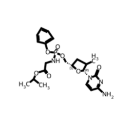 CC(C)OC(=O)CNP(=O)(OC[C@@H]1CC(C)[C@H](n2ccc(N)nc2=O)O1)Oc1ccccc1